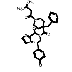 CC(C)CC(=O)N1CCC(Cc2ccccc2)(C(=O)N(CCc2ccc(Cl)cc2)C(C)c2ncc[nH]2)CC1